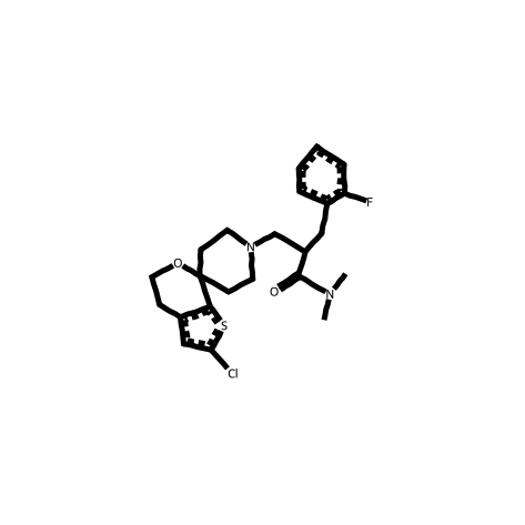 CN(C)C(=O)C(Cc1ccccc1F)CN1CCC2(CC1)OCCc1cc(Cl)sc12